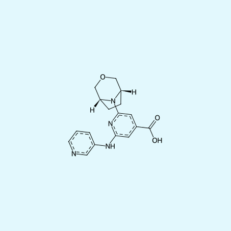 O=C(O)c1cc(Nc2cccnc2)nc(N2[C@@H]3CC[C@H]2COC3)c1